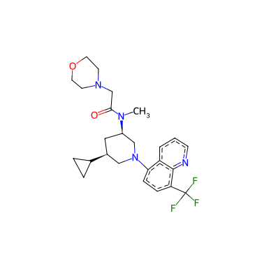 CN(C(=O)CN1CCOCC1)[C@@H]1C[C@H](C2CC2)CN(c2ccc(C(F)(F)F)c3ncccc23)C1